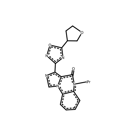 CC(C)n1c(=O)c2c(-c3noc(C4CCOC4)n3)ncn2c2ccccc21